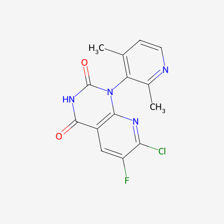 Cc1ccnc(C)c1-n1c(=O)[nH]c(=O)c2cc(F)c(Cl)nc21